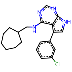 Clc1cccc(-c2c[nH]c3ncnc(NCC4CCCCCC4)c23)c1